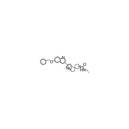 CCNC(=O)N1CCC2(CCn3nc(-c4cnc5ccc(OCc6ccccc6)cc5c4)cc32)C1